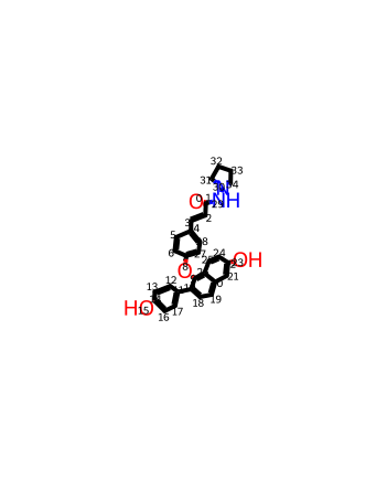 O=C(C=Cc1ccc(Oc2c(-c3ccc(O)cc3)ccc3cc(O)ccc23)cc1)NN1CCCC1